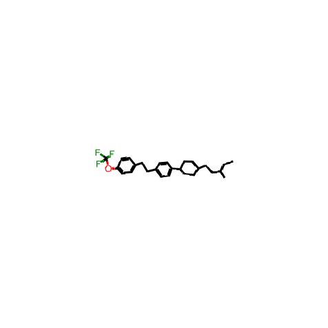 CCC(C)CCC1CCC(c2ccc(CCc3ccc(OC(F)(F)F)cc3)cc2)CC1